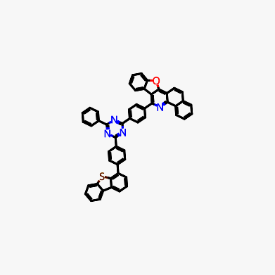 c1ccc(-c2nc(-c3ccc(-c4cccc5c4sc4ccccc45)cc3)nc(-c3ccc(-c4nc5c6ccccc6ccc5c5oc6ccccc6c45)cc3)n2)cc1